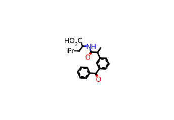 CC(C)CC(NC(=O)C(C)c1cccc(C(=O)c2ccccc2)c1)C(=O)O